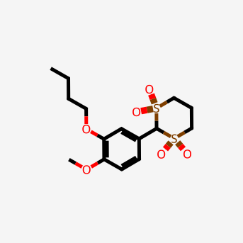 CCCCOc1cc(C2S(=O)(=O)CCCS2(=O)=O)ccc1OC